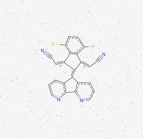 N#C/C=C1/C(=C2c3cccnc3-c3ncccc32)/C(=C/C#N)c2c(F)ccc(F)c21